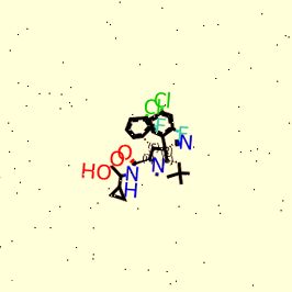 CN1[C@@H](CC(C)(C)C)[C@](C#N)(c2ccc(Cl)cc2F)[C@@H](c2cccc(Cl)c2F)[C@@H]1C(=O)NC(C(=O)O)C1CC1